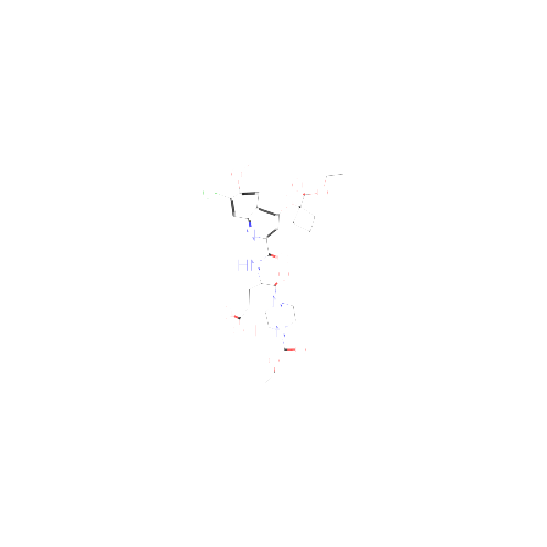 CCOC(=O)N1CCN(C(=O)C(CCC(=O)O)NC(=O)c2cc(OC3(C(=O)OCC)CCC3)c3cc(OC)c(Cl)cc3n2)CC1